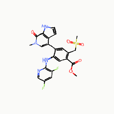 COC(=O)c1cc(Nc2ncc(F)cc2F)c(-c2cn(C)c(=O)c3[nH]ccc23)cc1CS(C)(=O)=O